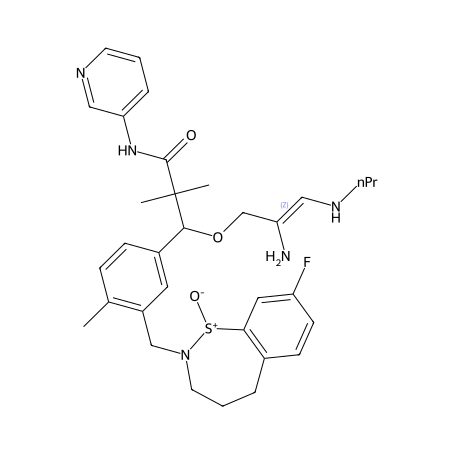 CCCN/C=C(\N)COC(c1ccc(C)c(CN2CCCc3ccc(F)cc3[S+]2[O-])c1)C(C)(C)C(=O)Nc1cccnc1